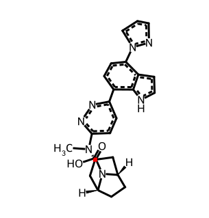 CN(c1ccc(-c2ccc(-n3cccn3)c3cc[nH]c23)nn1)[C@H]1C[C@H]2CC[C@@H](C1)N2C(=O)O